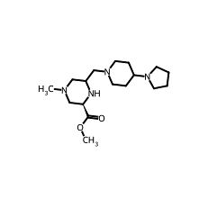 COC(=O)[C@H]1CN(C)CC(CN2CCC(N3CCCC3)CC2)N1